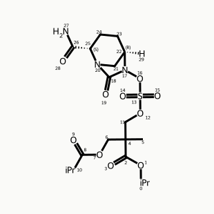 CC(C)OC(=O)C(C)(COC(=O)C(C)C)COS(=O)(=O)ON1C(=O)N2C[C@H]1CC[C@H]2C(N)=O